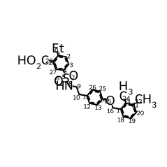 CCc1ccc(S(=O)(=O)NCCc2ccc(OCc3cccc(C)c3C)cc2)cc1C(=O)O